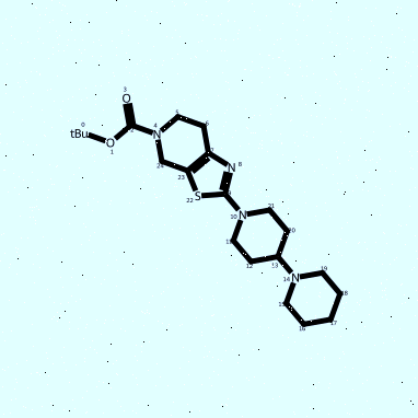 CC(C)(C)OC(=O)N1CCc2nc(N3CCC(N4CCCCC4)CC3)sc2C1